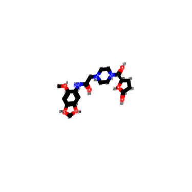 COc1cc2c(cc1NC(=O)CN1CCN(C(=O)[C@H]3CCC(=O)O3)CC1)OCO2